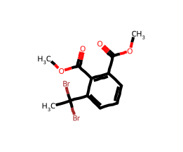 COC(=O)c1cccc(C(C)(Br)Br)c1C(=O)OC